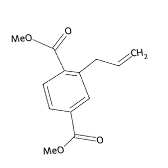 C=CCc1cc(C(=O)OC)ccc1C(=O)OC